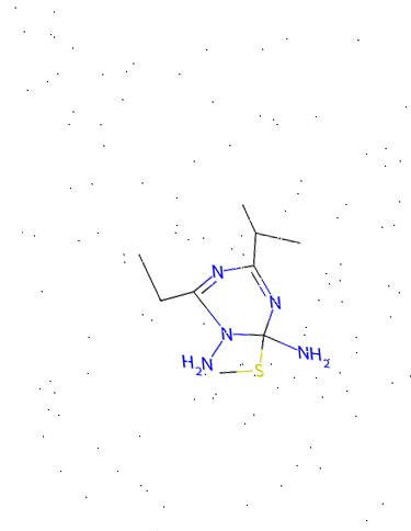 CCC1=NC(C(C)C)=NC(N)(SC)N1N